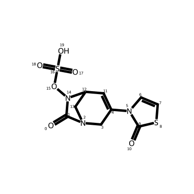 O=C1N2CC(n3ccsc3=O)=CC(C2)N1OS(=O)(=O)O